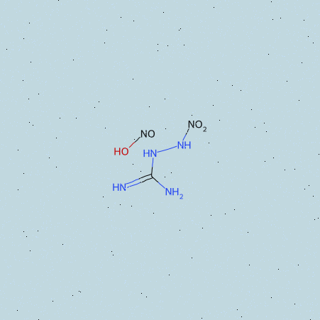 N=C(N)NN[N+](=O)[O-].O=NO